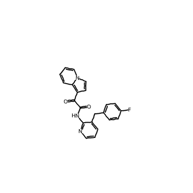 O=C(Nc1ncccc1Cc1ccc(F)cc1)C(=O)c1ccn2ccccc12